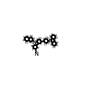 N#Cc1ccc2c(c1)c1cc(-c3ccc(-n4c5ccccc5c5ccccc54)cc3)ccc1n2-c1ccc2ccccc2c1